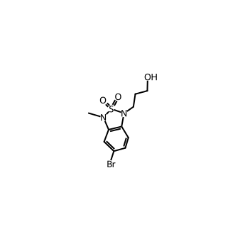 CN1c2cc(Br)ccc2N(CCCO)S1(=O)=O